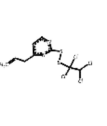 C=CCc1ccnc(SSC(Cl)(Cl)C(Cl)Cl)n1